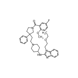 CCOCCn1c(NC2CCN(CCC3(c4ccccc4)CCN(C(=O)c4cc(F)ccc4OC)C3)CC2)nc2ccccc21